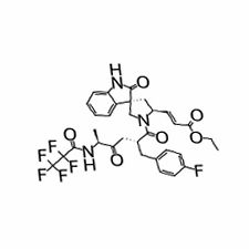 CCOC(=O)/C=C/[C@@H]1C[C@@]2(CN1C(=O)[C@@H](CC(=O)[C@H](C)NC(=O)C(F)(F)C(F)(F)F)Cc1ccc(F)cc1)C(=O)Nc1ccccc12